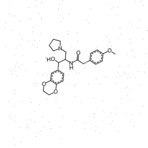 COc1ccc(CC(=O)NC(CN2CCCC2)C(O)c2ccc3c(c2)OCCO3)cc1